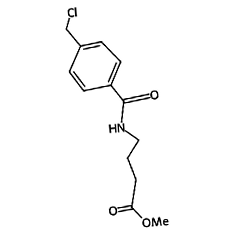 COC(=O)CCCNC(=O)c1ccc(CCl)cc1